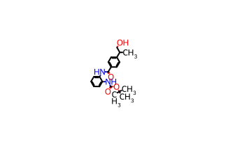 CC(CO)c1ccc(C(=O)Nc2ccccc2NC(=O)OC(C)(C)C)cc1